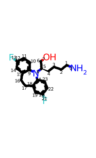 NCCCC[C@H](CO)N1c2ccc(F)cc2CCc2cc(F)ccc21